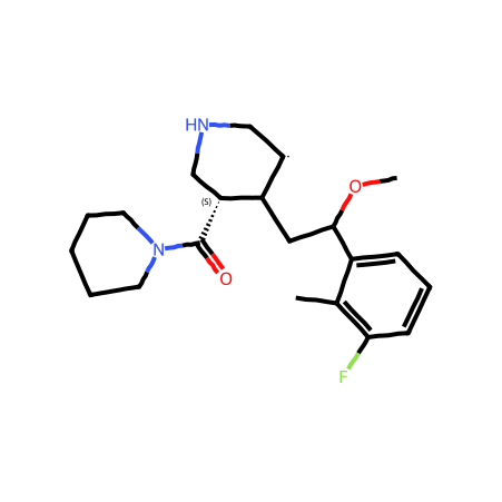 COC(CC1[CH]CNC[C@H]1C(=O)N1CCCCC1)c1cccc(F)c1C